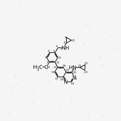 COc1ccc(CNC2CC2)cc1-c1ccc2ncnc(NC3CC3)c2c1